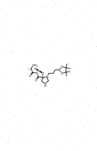 C[C@H](N)C(=O)OC(=O)[C@@]1(N=[N+]=[N-])CNC[C@@H]1CCCB1OC(C)(C)C(C)(C)O1